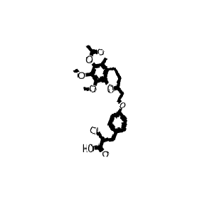 COc1c(OC(C)=O)c(C)c2c(c1OC)OC(CCOc1ccc(CC(Cl)C(=O)O)cc1)CC2